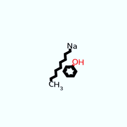 CCCCCCCC[CH2][Na].Oc1ccccc1